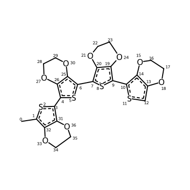 Cc1sc(-c2sc(-c3sc(-c4scc5c4OCCO5)c4c3OCCO4)c3c2OCCO3)c2c1OCCO2